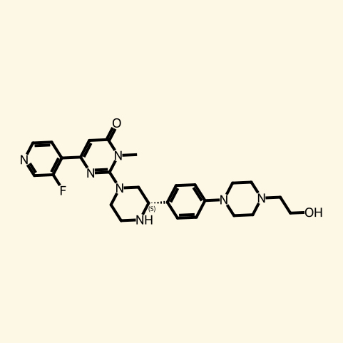 Cn1c(N2CCN[C@@H](c3ccc(N4CCN(CCO)CC4)cc3)C2)nc(-c2ccncc2F)cc1=O